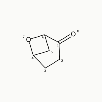 O=C1CCC2CC1O2